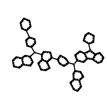 c1ccc(-c2ccc(N(c3ccc4ccccc4c3)c3ccc(-c4ccc(N(c5ccc6ccccc6c5)c5ccc6c(c5)c5ccccc5n6-c5ccccc5)cc4)c4ccccc34)cc2)cc1